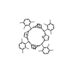 Cc1ccc(C)c(-c2c3nc(c(-c4c(C)ccc(C)c4C)c4ccc([nH]4)c(-c4c(C)ccc(C)c4C)c4nc(c(-c5c(C)ccc(C)c5C)c5ccc2[nH]5)C=C4)C=C3)c1C